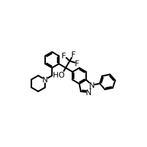 OC(c1ccc2c(cnn2-c2ccccc2)c1)(c1ccccc1CN1CCCCC1)C(F)(F)F